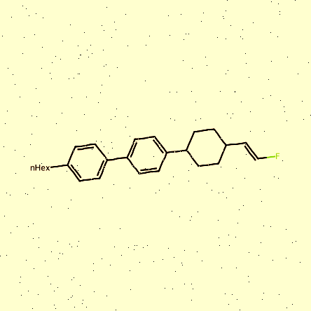 CCCCCCc1ccc(-c2ccc(C3CCC(C=CF)CC3)cc2)cc1